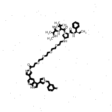 CC[C@@H](NC(=O)[C@@H]1C[C@H](NCCOCCOCCOCCOCCC(=O)n2cc(-c3cnc4[nH]cc(-c5cnn(Cc6cccc(F)c6)c5)c4c3)cn2)CN1C(=O)C(NC(=O)[C@H](C)NC)C(C)(C)C)c1ccccc1